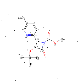 COc1ccc([C@H]2[C@@H](O[Si](C(C)C)(C(C)C)C(C)C)C(=O)N2C(=O)OC(C)(C)C)nc1